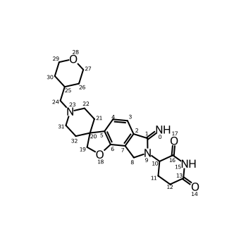 N=C1c2ccc3c(c2CN1C1CCC(=O)NC1=O)OCC31CCN(CC2CCOCC2)CC1